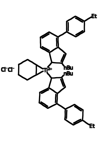 CCCCC1=Cc2c(-c3ccc(CC)cc3)cccc2[CH]1[Ti+2]1([CH]2C(CCCC)=Cc3c(-c4ccc(CC)cc4)cccc32)[CH]2CCCC[CH]21.[Cl-].[Cl-]